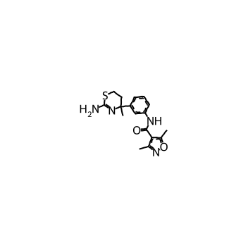 Cc1noc(C)c1C(=O)Nc1cccc(C2(C)CCSC(N)=N2)c1